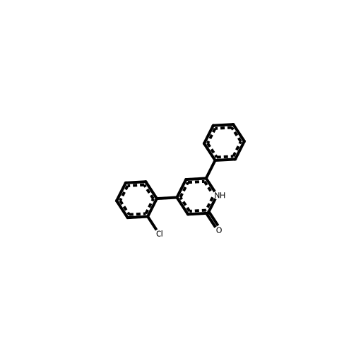 O=c1cc(-c2ccccc2Cl)cc(-c2ccccc2)[nH]1